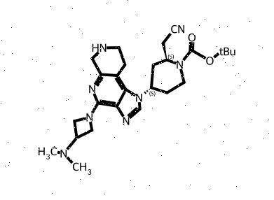 CN(C)C1CN(c2nc3c(c4c2ncn4[C@H]2CCN(C(=O)OC(C)(C)C)[C@H](CC#N)C2)CCNC3)C1